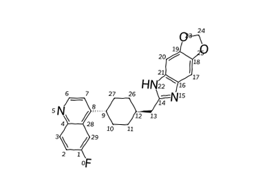 Fc1ccc2nccc([C@H]3CC[C@H](Cc4nc5cc6c(cc5[nH]4)OCO6)CC3)c2c1